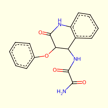 NC(=O)C(=O)NC1c2ccccc2NC(=O)C1Oc1ccccc1